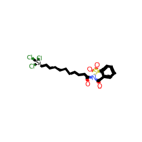 O=C(CCCCCCCCCC[Si](Cl)(Cl)Cl)N1C(=O)c2ccccc2S1(=O)=O